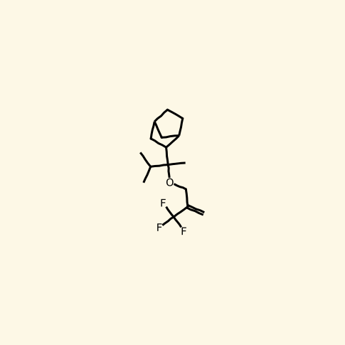 C=C(COC(C)(C(C)C)C1CC2CCC1C2)C(F)(F)F